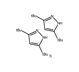 CC(C)(C)c1cc(C(C)(C)C)[nH]n1.CC(C)(C)c1cc(C(C)(C)C)[nH]n1.[Ti]